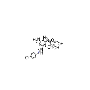 Nc1nc(N/N=C/c2ccc(Cl)cc2)nc2c1ncn2[C@@H]1O[C@H](CO)[C@@H](O)[C@H]1O